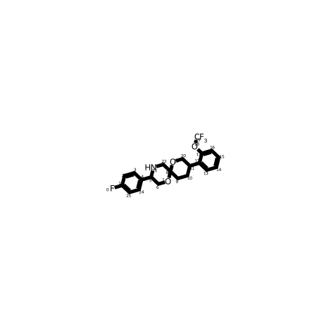 Fc1ccc(C2COC3(CCC(c4ccccc4OC(F)(F)F)CO3)CN2)cc1